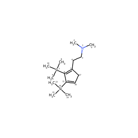 CN(C)CCC1=C([Si](C)(C)C)C([Si](C)(C)C)=CC1